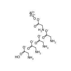 Cl.NCC(=O)[O-].NCC(=O)[O-].NCC(=O)[O-].NCC(=O)[O-].NCC(=O)[O-].[Al+3].[O]=[Zr+2]